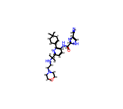 CC1(C)CC=C(c2nc(C(C)(C)NCCN3CCOCC3)ccc2NC(=O)c2nc(C#N)c[nH]2)CC1